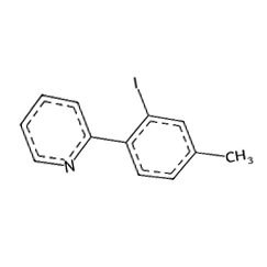 Cc1ccc(-c2ccccn2)c(I)c1